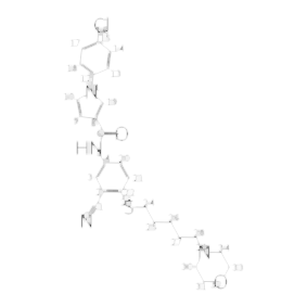 N#Cc1cc(NC(=O)c2ccn(-c3ccc(Cl)cc3)c2)ccc1SCCCCCN1CCOCC1